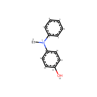 CCN(c1ccccc1)c1ccc(O)cc1